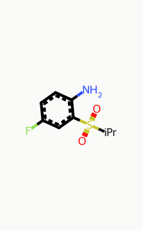 CC(C)S(=O)(=O)c1cc(F)ccc1N